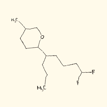 CCCC(CCCC(F)F)C1CCC(C)CO1